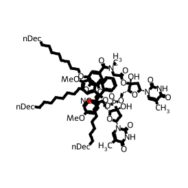 CCCCCCCCCCCCCCCCCCOc1cc(C(=O)N(C)CC(=O)O[C@]2(O)C[C@H](n3cc(C)c(=O)[nH]c3=O)O[C@@H]2COP(=O)(OCCC#N)[C@]2(O)C[C@H](n3cc(C)c(=O)[nH]c3=O)O[C@@H]2COC(c2ccccc2)(c2ccc(OC)cc2)c2ccc(OC)cc2)cc(OCCCCCCCCCCCCCCCCCC)c1OCCCCCCCCCCCCCCCCCC